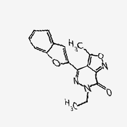 CCn1nc(-c2cc3ccccc3o2)c2c(C)onc2c1=O